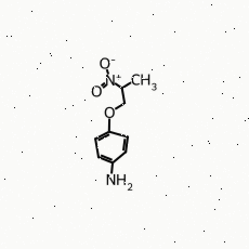 CC(COc1ccc(N)cc1)[N+](=O)[O-]